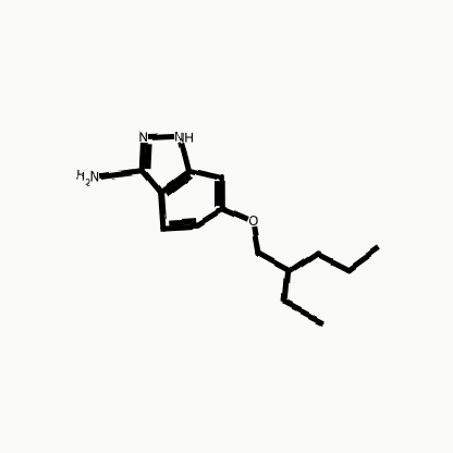 CCCC(CC)COc1ccc2c(N)n[nH]c2c1